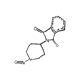 O=NN1CCC(N2C(=O)c3ccccc3C2=O)CC1